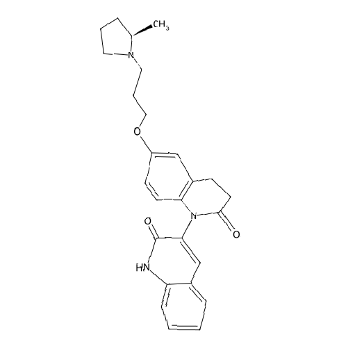 C[C@@H]1CCCN1CCCOc1ccc2c(c1)CCC(=O)N2c1cc2ccccc2[nH]c1=O